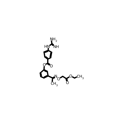 CCOC(=O)CON=C(C)c1cccc(OC(=O)c2ccc(NC(=N)N)cc2)c1